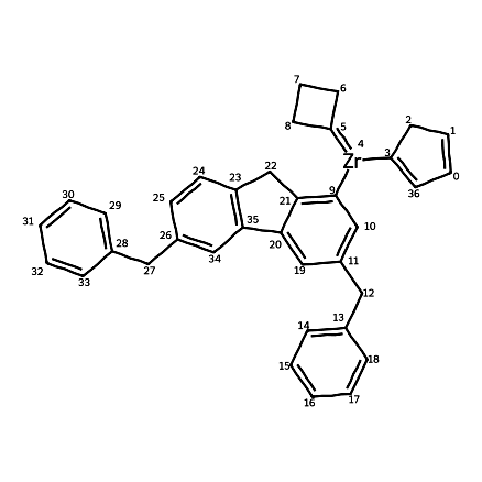 C1=CC[C]([Zr](=[C]2CCC2)[c]2cc(Cc3ccccc3)cc3c2Cc2ccc(Cc4ccccc4)cc2-3)=C1